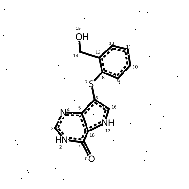 O=c1[nH]cnc2c(Sc3ccccc3CO)c[nH]c12